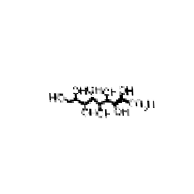 O=C(O)/C(O)=C(\O)[C@H](O)[C@@H](O)[C@@H](O)[C@H](O)[C@H](O)CO